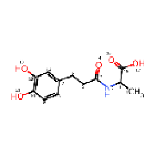 CC(NC(=O)CCc1ccc(O)c(O)c1)C(=O)O